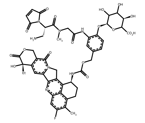 CC[C@@]1(O)C(=O)OCc2c1cc1n(c2=O)Cc2c-1nc1cc(F)c(C)c3c1c2[C@@H](NC(=O)OCc1ccc(O[C@@H]2OC(C(=O)O)[C@H](O)C(O)C2O)c(NC(=O)CN(C)C(=O)[C@H](CN)N2C(=O)C=CC2=O)c1)CC3